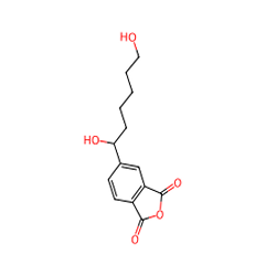 O=C1OC(=O)c2cc(C(O)CCCCCO)ccc21